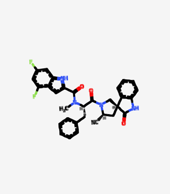 CN(C(=O)c1cc2c(F)cc(F)cc2[nH]1)[C@@H](Cc1ccccc1)C(=O)N1C[C@]2(C[C@H]1C#N)C(=O)Nc1ccccc12